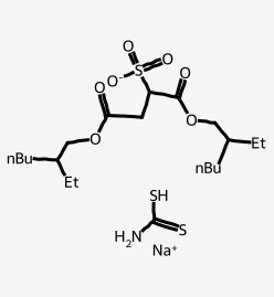 CCCCC(CC)COC(=O)CC(C(=O)OCC(CC)CCCC)S(=O)(=O)[O-].NC(=S)S.[Na+]